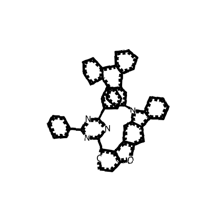 c1ccc(-c2nc(-c3ccccc3)nc(-c3cccc4oc5cc6c7ccccc7n(-c7ccc8c9ccccc9c9ccccc9c8c7)c6cc5c34)n2)cc1